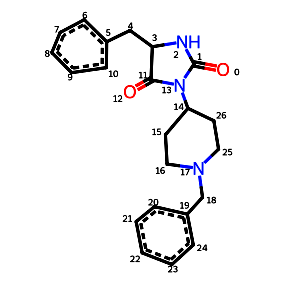 O=C1NC(Cc2ccccc2)C(=O)N1C1CCN(Cc2ccccc2)CC1